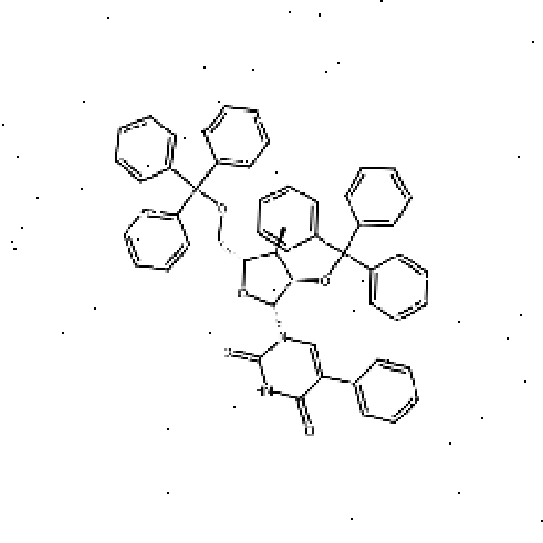 O=c1[nH]c(=O)n([C@@H]2O[C@H](COC(c3ccccc3)(c3ccccc3)c3ccccc3)[C@@H](I)[C@H]2OC(c2ccccc2)(c2ccccc2)c2ccccc2)cc1-c1ccccc1